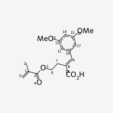 C=C(C)C(=O)OCCC(=Cc1cc(OC)cc(OC)c1)C(=O)O